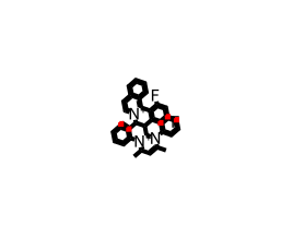 C=CC1C(C2N(c3ccccc3)C(C)=CC(C)=[N+]2c2ccccc2)c2cc(F)cc(F)c2-c2c3ccccc3cc[n+]21